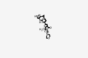 CC1(C)c2sc(-c3ccnc(Nc4c[nH]nc4C4CC4)n3)cc2C(=O)N1CCN1CCOCC1